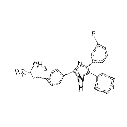 CC(C)Cc1ccc(-c2nc(-c3cccc(F)c3)c(-c3ccncc3)[nH]2)cc1